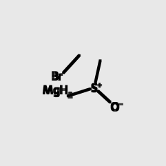 CBr.C[S+](C)[O-].[MgH2]